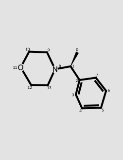 C[C@@H](c1ccccc1)N1CCOCC1